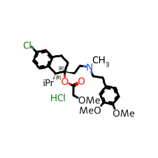 COCC(=O)O[C@@]1(CCN(C)CCc2ccc(OC)c(OC)c2)CCc2cc(Cl)ccc2[C@H]1C(C)C.Cl